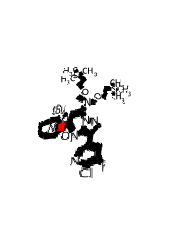 CC(C)(C)OC(=O)N1C2CCC1CC(c1cc(N(COCC[Si](C)(C)C)COCC[Si](C)(C)C)n3ncc(-c4cnc(Cl)c(F)c4)c3n1)C2